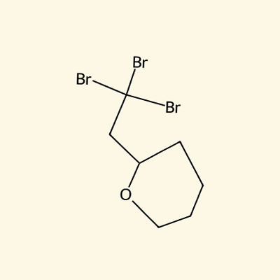 BrC(Br)(Br)CC1CCCCO1